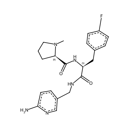 CN1CCC[C@@H]1C(=O)N[C@@H](Cc1ccc(F)cc1)C(=O)NCc1ccc(N)nc1